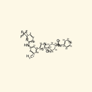 Cc1cc(Nc2nccc(C(F)(F)F)n2)cc(-c2cnc(C3(O)CCC(C(=O)Nc4ccncc4)CC3)s2)c1